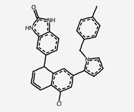 Cc1ccc(Cn2cccc2-c2cc(Cl)c3c(c2)C(c2ccc4[nH]c(=O)[nH]c4c2)C=C=C3)cc1